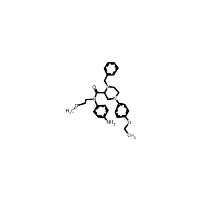 CCOc1ccc(N2CCN(Cc3ccccc3)C(C(=O)N(CCOC)c3ccc(N)cc3)C2)cc1